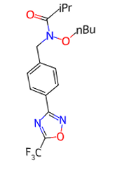 CCCCON(Cc1ccc(-c2noc(C(F)(F)F)n2)cc1)C(=O)C(C)C